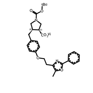 Cc1oc(-c2ccccc2)nc1CCOc1ccc(C[C@H]2CN(C(=O)OC(C)(C)C)C[C@H]2C(=O)O)cc1